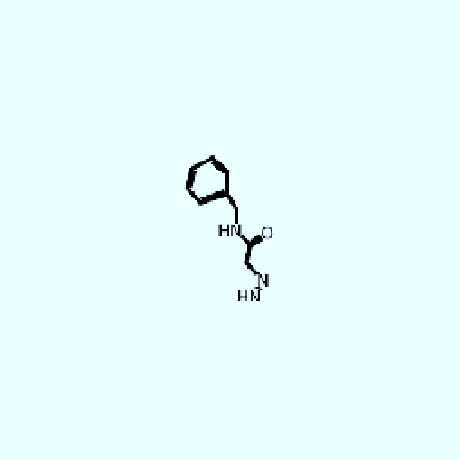 N=NCC(=O)NCc1ccccc1